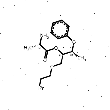 CC(C)CCOC[C@@H](OC(=O)[C@H](C)N)[C@H](C)Oc1ccccc1